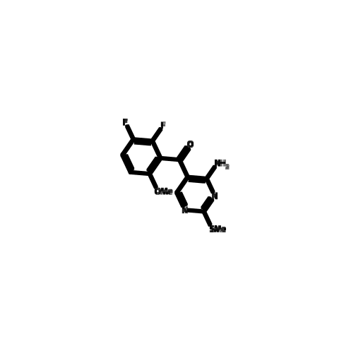 COc1ccc(F)c(F)c1C(=O)c1cnc(SC)nc1N